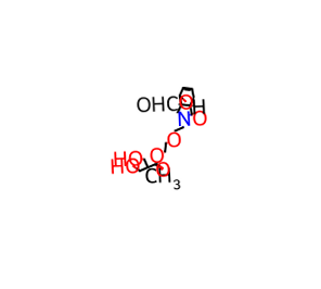 CC(CO)(CO)C(=O)OCCOCCN1CC2(C=O)C3C=CC(O3)[C@H]2C1=O